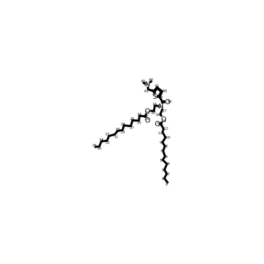 CCCCCCCCCCCCCC(=O)OCCN(CCOC(=O)CCCCCCCCCCCCC)C(=O)c1ccc(CN(C)C)s1